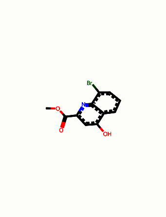 COC(=O)c1cc(O)c2cccc(Br)c2n1